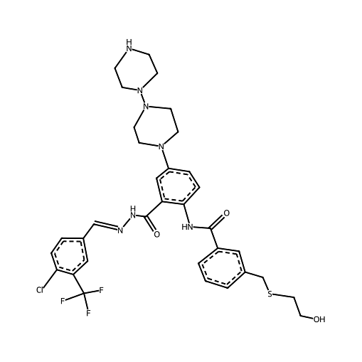 O=C(Nc1ccc(N2CCN(N3CCNCC3)CC2)cc1C(=O)NN=Cc1ccc(Cl)c(C(F)(F)F)c1)c1cccc(CSCCO)c1